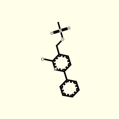 CS(=O)(=O)OCc1ccc(-c2ccccc2)nc1Cl